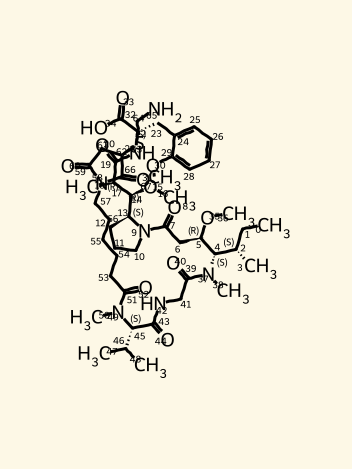 CC[C@H](C)[C@@H]([C@@H](CC(=O)N1CCC[C@H]1[C@H](OC)[C@@H](C)C(=O)N[C@@H](Cc1ccccc1OC)C(=O)O)OC)N(C)C(=O)CNC(=O)[C@H](C(C)C)N(C)C(=O)CCCCCN1C(=O)CC(SCN)C1=O